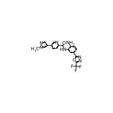 Cn1cc(-c2ccc(C(=O)Nc3cc(-c4nnc(C(F)(F)F)o4)ccc3N)nc2)cn1